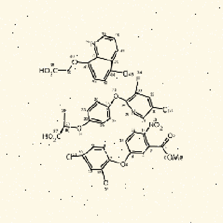 COC(=O)c1cc(Oc2ccc(Cl)cc2Cl)ccc1[N+](=O)[O-].C[C@@H](Oc1ccc(Oc2ncc(Cl)cc2F)cc1)C(=O)O.O=C(O)COc1ccc(Cl)c2cccnc12